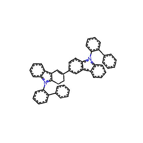 C1=C(c2ccc3c(c2)c2ccccc2n3-c2ccccc2-c2ccccc2)CCc2c1c1ccccc1n2-c1ccccc1-c1ccccc1